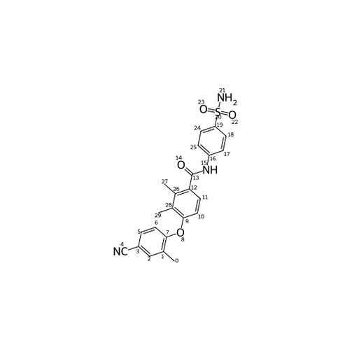 Cc1cc(C#N)ccc1Oc1ccc(C(=O)Nc2ccc(S(N)(=O)=O)cc2)c(C)c1C